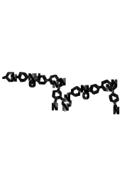 CC1CCN(c2ccc(NC(=O)c3ccc(C4=Cn5c(-c6ccc(C#N)c(C7CN(C)CCN7Cc7ccc(NC(=O)c8ccc(-c9ccc%10ncc(-c%11ccc(C#N)cc%11)n%10c9)cc8)cc7)c6)cnc5CC4)cc3)cc2)CC1